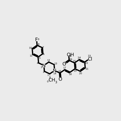 C[C@@H]1CN(Cc2ccc(F)cc2)CCN1C(=O)C=Cc1ccc(Cl)cc1C(=O)O